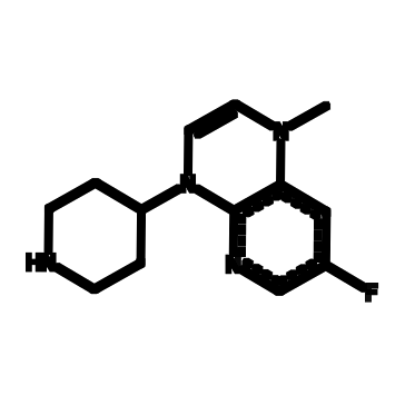 CN1C=CN(C2CCNCC2)c2ncc(F)cc21